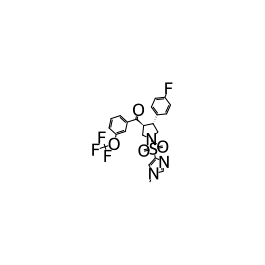 Cn1cnc(S(=O)(=O)N2C[C@@H](C(=O)c3cccc(OC(F)(F)F)c3)[C@H](c3ccc(F)cc3)C2)c1